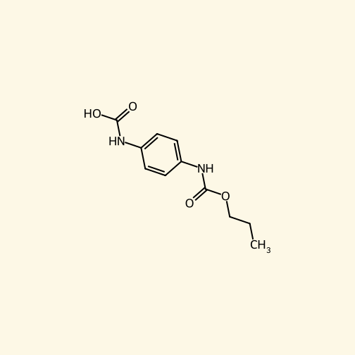 CCCOC(=O)Nc1ccc(NC(=O)O)cc1